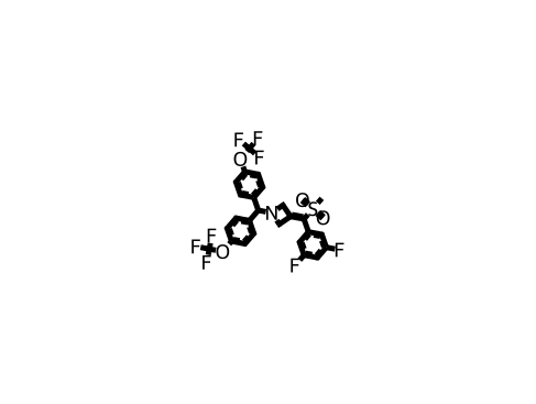 CS(=O)(=O)C(=C1CN(C(c2ccc(OC(F)(F)F)cc2)c2ccc(OC(F)(F)F)cc2)C1)c1cc(F)cc(F)c1